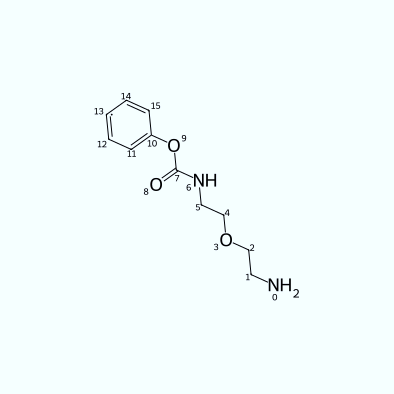 NCCOCCNC(=O)Oc1cc[c]cc1